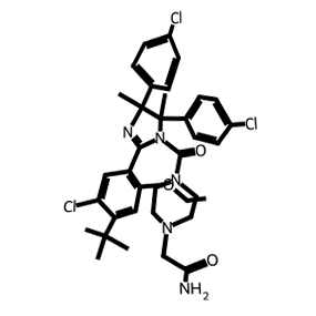 CCOc1cc(C(C)(C)C)c(Cl)cc1C1=NC(C)(c2ccc(Cl)cc2)C(C)(c2ccc(Cl)cc2)N1C(=O)N1CCN(CC(N)=O)CC1